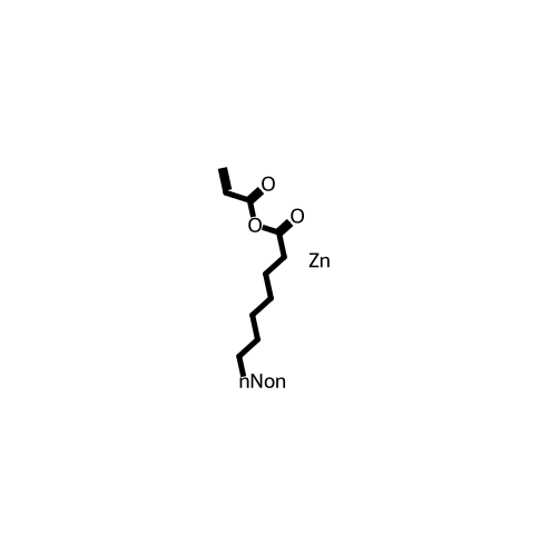 C=CC(=O)OC(=O)CCCCCCCCCCCCCCC.[Zn]